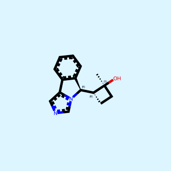 C[C@]1(O)CC[C@@H]1[C@@H]1c2ccccc2-c2cncn21